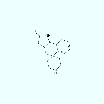 O=C1CC2CC3(CCNCC3)c3ccccc3C2N1